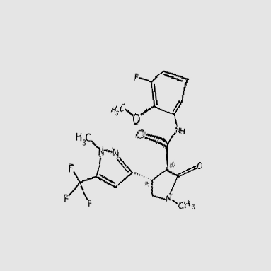 COc1c(F)cccc1NC(=O)[C@H]1C(=O)N(C)C[C@@H]1c1cc(C(F)(F)F)n(C)n1